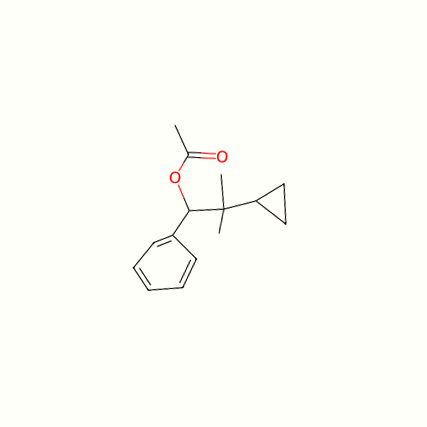 CC(=O)OC(c1ccccc1)C(C)(C)C1CC1